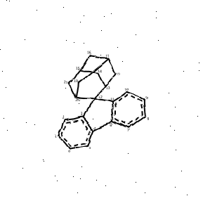 c1ccc2c(c1)-c1ccccc1C21C2CC3CC(C2)CC1C3